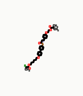 C=C(C)C(=O)OCCOc1ccc(/C=C/C(=O)Sc2ccc(-c3ccc(OCCCCCCOC(=O)C(=C)F)cc3)cc2)cc1